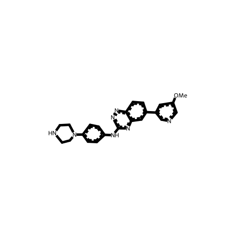 COc1cncc(-c2ccc3nnc(Nc4ccc(N5CCNCC5)cc4)nc3c2)c1